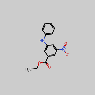 CCOC(=O)c1cc(Nc2ccccc2)cc([N+](=O)[O-])c1